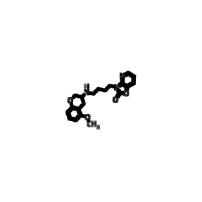 COc1cccc2c1CC(NCCCCn1c(=O)oc3cccnc31)CO2